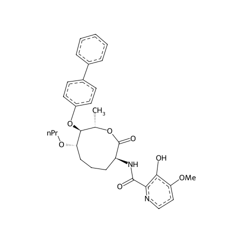 CCCO[C@H]1CCC[C@H](NC(=O)c2nccc(OC)c2O)C(=O)O[C@@H](C)[C@@H]1Oc1ccc(-c2ccccc2)cc1